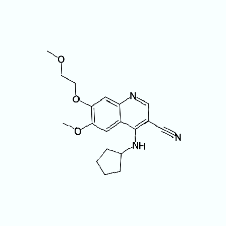 COCCOc1cc2ncc(C#N)c(NC3CCCC3)c2cc1OC